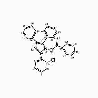 O=C(On1c(-c2ccccc2Cl)nc(-c2ccccn2)c1-c1ccccc1)c1ccccc1